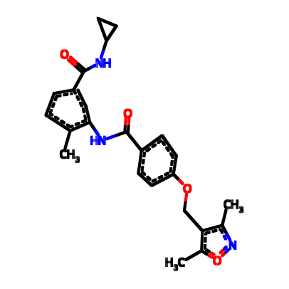 Cc1ccc(C(=O)NC2CC2)cc1NC(=O)c1ccc(OCc2c(C)noc2C)cc1